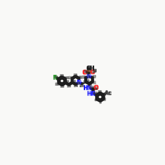 CC(=O)c1cccc(NC(=O)N[C@@H]2CCN(S(C)(=O)=O)C[C@H]2CN2CCCC(Cc3ccc(F)cc3)C2)c1